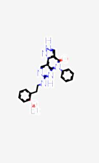 CCOc1ccccc1CCNc1ncc2c3n[nH]cc3c(=O)n(-c3ccccc3)c2n1